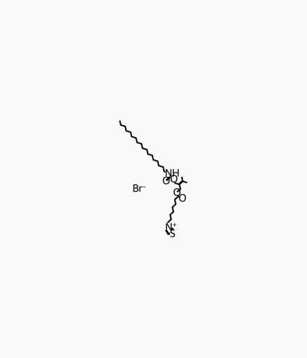 CCCCCCCCCCCCCCCCCCNC(=O)OCC(COC(=O)CCCCCCC[n+]1ccsc1)=C(C)C.[Br-]